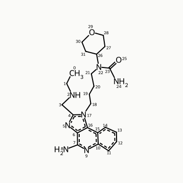 CCNCc1nc2c(N)nc3ccccc3c2n1CCCCN(C(N)=O)C1CCOCC1